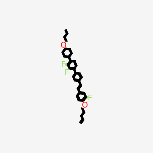 C=CCCCOc1ccc(/C=C/c2ccc(-c3ccc(C4CCC(OCCCC)CC4)c(F)c3F)cc2)cc1F